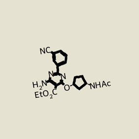 CCOC(=O)c1c(N)nc(-c2cccc(C#N)c2)nc1O[C@@H]1CC[C@H](NC(C)=O)C1